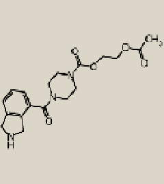 CC(=O)OCCOC(=O)N1CCN(C(=O)c2cccc3c2CNC3)CC1